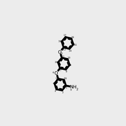 Nc1cccc(Oc2cccc(Oc3ccccc3)c2)c1